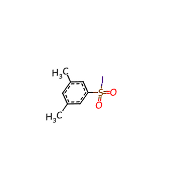 Cc1cc(C)cc(S(=O)(=O)I)c1